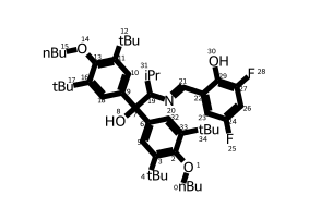 CCCCOc1c(C(C)(C)C)cc(C(O)(c2cc(C(C)(C)C)c(OCCCC)c(C(C)(C)C)c2)C(N=Cc2cc(F)cc(F)c2O)C(C)C)cc1C(C)(C)C